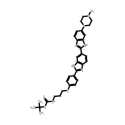 CN1CCN(c2ccc3nc(-c4ccc5nc(-c6ccc(OCCCNC(=O)OC(C)(C)C)cc6)[nH]c5c4)[nH]c3c2)CC1